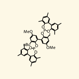 CCCCc1cc(OC)cc(-c2cc(OC)cc(I)c2Op2oc3c(C)cc(C)cc3c3cc(C)cc(C)c3o2)c1Op1oc2c(C)cc(C)cc2c2cc(C)cc(C)c2o1